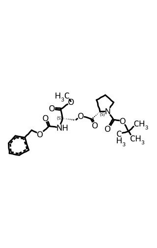 COC(=O)[C@H](COC(=O)[C@@H]1CCCN1C(=O)OC(C)(C)C)NC(=O)OCc1ccccc1